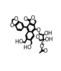 CC(=O)OC[C@]1(O)CO[C@@H](Oc2c3c(c(-c4ccc5c(c4)OCO5)c4cc(CO)c(CO)cc24)C(=O)OC3)C1O